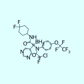 B[C@@](C(=O)NC1CCC(F)(F)CC1)(c1cncnc1)N(C(=O)[C@H](F)Cl)c1ccc(OC(F)(F)C(F)(F)F)cc1